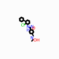 CC(O)N=Cc1ccc2c(Nc3cccc(-c4ccccc4)c3Cl)noc2c1